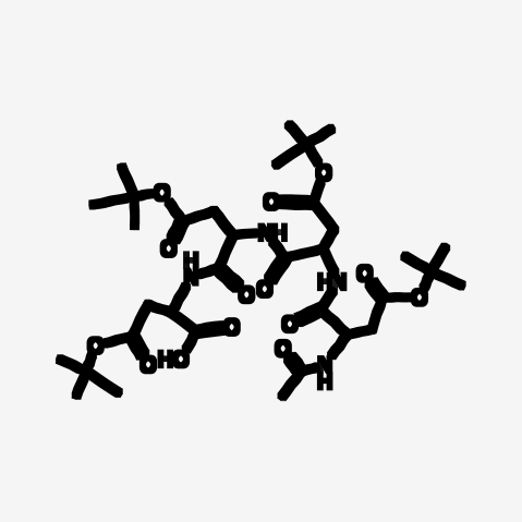 CC(=O)NC(CC(=O)OC(C)(C)C)C(=O)NC(CC(=O)OC(C)(C)C)C(=O)NC(CC(=O)OC(C)(C)C)C(=O)NC(CC(=O)OC(C)(C)C)C(=O)O